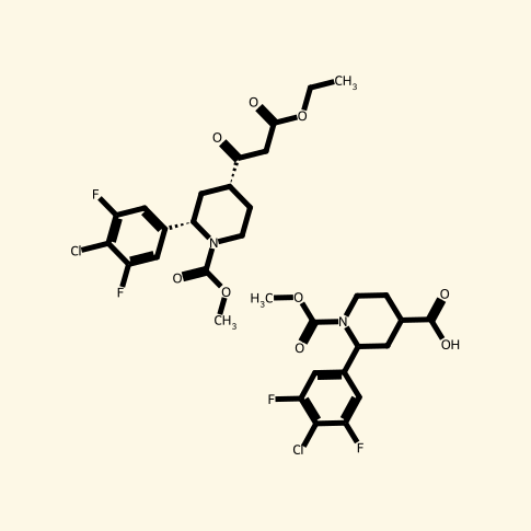 CCOC(=O)CC(=O)[C@@H]1CCN(C(=O)OC)[C@H](c2cc(F)c(Cl)c(F)c2)C1.COC(=O)N1CCC(C(=O)O)CC1c1cc(F)c(Cl)c(F)c1